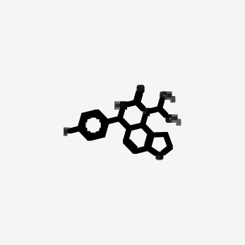 CC(C)N1C(=O)NC(c2ccc(F)cc2)C2C=CC3=C(CCO3)C21